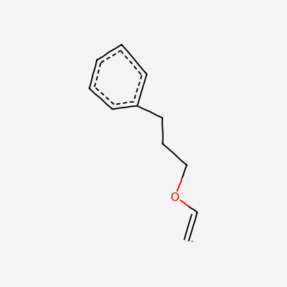 [CH]=COCCCc1ccccc1